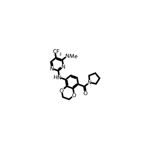 CNc1nc(Nc2ccc(C(=O)N3CCCC3)c3c2OCCO3)ncc1C(F)(F)F